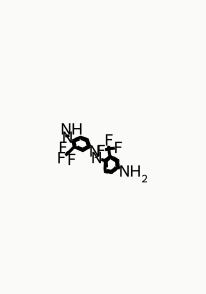 N=Nc1ccc(N=Nc2ccc(N)cc2C(F)(F)F)cc1C(F)(F)F